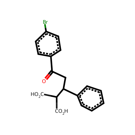 O=C(CC(c1ccccc1)C(C(=O)O)C(=O)O)c1ccc(Br)cc1